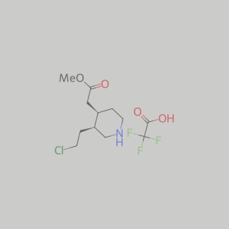 COC(=O)C[C@H]1CCNC[C@H]1CCCl.O=C(O)C(F)(F)F